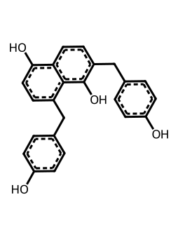 Oc1ccc(Cc2ccc3c(O)ccc(Cc4ccc(O)cc4)c3c2O)cc1